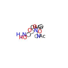 COC(=O)[C@H](CC1=CCC(N)(O)C=C1)N(C(=O)c1ccccc1)C(=O)[C@@H]1CCCN1C(C)=O